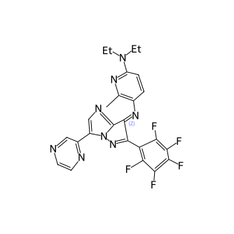 CCN(CC)c1ccc(/N=C2/C(c3c(F)c(F)c(F)c(F)c3F)=Nn3c(-c4cnccn4)cnc32)c(C)n1